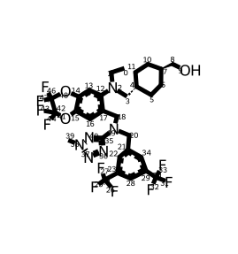 CCN(C[C@H]1CC[C@H](CO)CC1)c1cc2c(cc1CN(Cc1cc(C(F)(F)F)cc(C(F)(F)F)c1)c1nnn(C)n1)OC(F)(F)C(F)(F)O2